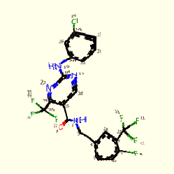 O=C(NCc1ccc(F)c(C(F)(F)F)c1)c1cnc(Nc2cccc(Cl)c2)nc1C(F)(F)F